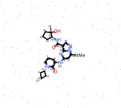 CNc1cc(Nc2cccn([C@H]3C[C@H](F)C3)c2=O)nc2c(C(=O)N[C@H]3CCC[C@]3(C)O)cnn12